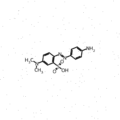 CN(C)c1ccc(N=Nc2ccc(N)cc2)c(S(=O)(=O)O)c1